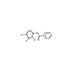 O=C(Oc1ccc(F)c(F)c1F)C1CC2C=CC1C2